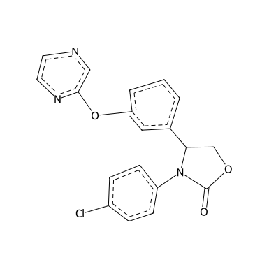 O=C1OCC(c2cccc(Oc3cnccn3)c2)N1c1ccc(Cl)cc1